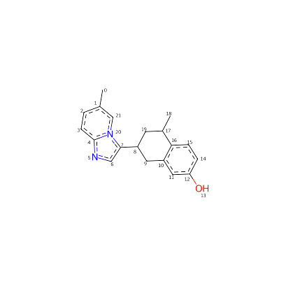 Cc1ccc2ncc(C3Cc4cc(O)ccc4C(C)C3)n2c1